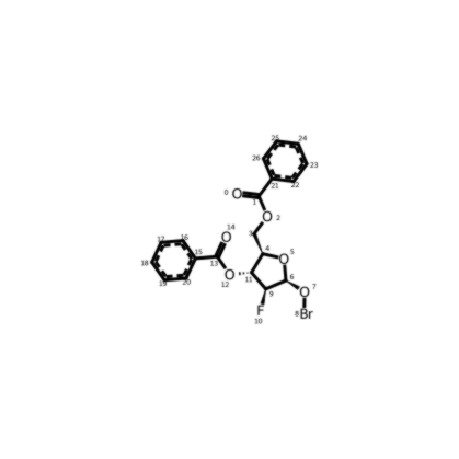 O=C(OC[C@H]1O[C@@H](OBr)[C@@H](F)[C@@H]1OC(=O)c1ccccc1)c1ccccc1